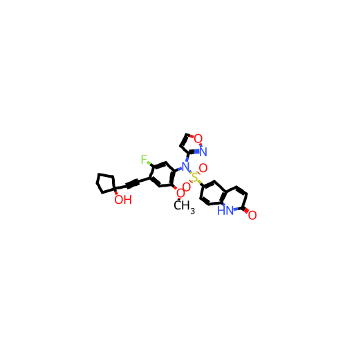 COc1cc(C#CC2(O)CCCC2)c(F)cc1N(c1ccon1)S(=O)(=O)c1ccc2[nH]c(=O)ccc2c1